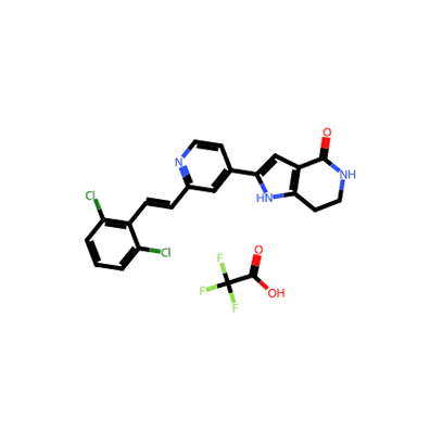 O=C(O)C(F)(F)F.O=C1NCCc2[nH]c(-c3ccnc(/C=C/c4c(Cl)cccc4Cl)c3)cc21